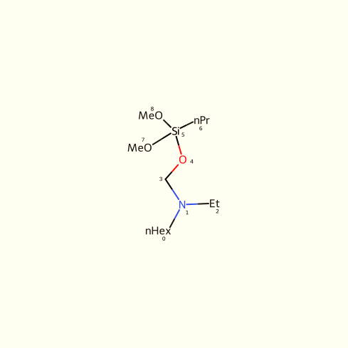 CCCCCCN(CC)CO[Si](CCC)(OC)OC